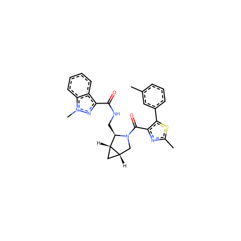 Cc1cccc(-c2sc(C)nc2C(=O)N2C[C@@H]3C[C@@H]3[C@H]2CNC(=O)c2nn(C)c3ccccc23)c1